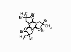 CC(Br)(CBr)Cn1c(=O)n(CC(C)(Br)CBr)c(=O)n(CC(C)(Br)CBr)c1=O